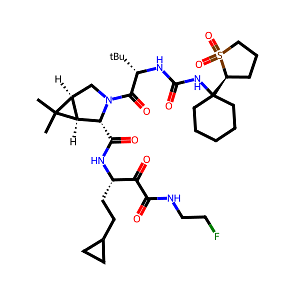 CC(C)(C)[C@H](NC(=O)NC1([C@@H]2CCCS2(=O)=O)CCCCC1)C(=O)N1C[C@H]2[C@@H]([C@H]1C(=O)N[C@@H](CCC1CC1)C(=O)C(=O)NCCF)C2(C)C